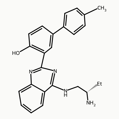 CC[C@H](N)CNc1nc(-c2cc(-c3ccc(C)cc3)ccc2O)nc2ccccc12